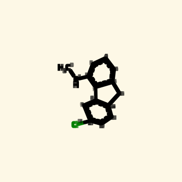 CBc1cccc2c1-c1cc(Cl)ccc1C2